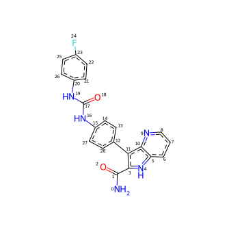 NC(=O)c1[nH]c2cccnc2c1-c1ccc(NC(=O)Nc2ccc(F)cc2)cc1